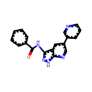 O=C(Nc1n[nH]c2ncc(-c3cccnc3)cc12)c1ccccc1